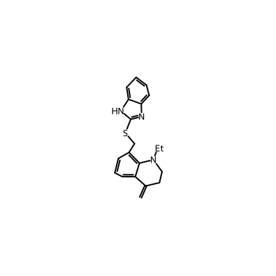 C=C1CCN(CC)c2c(CSc3nc4ccccc4[nH]3)cccc21